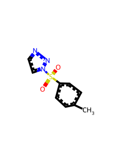 Cc1ccc(S(=O)(=O)n2ccnn2)cc1